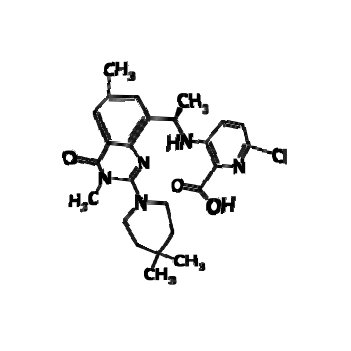 Cc1cc([C@@H](C)Nc2ccc(Cl)nc2C(=O)O)c2nc(N3CCC(C)(C)CC3)n(C)c(=O)c2c1